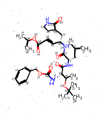 CC(C)C[C@H](NC(=O)[C@@H](NC(=O)OCc1ccccc1)C(C)OC(C)(C)C)C(=O)N[C@H](/C=C/C(=O)OC(C)C)CC1CCNC1=O